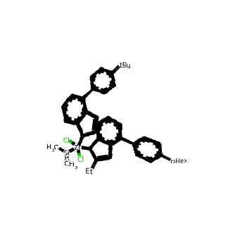 CCCCCCc1ccc(-c2cccc3c2C=C(CC)[CH]3[Zr]([Cl])([Cl])([CH]2C=Cc3c(-c4ccc(C(C)(C)C)cc4)cccc32)[SiH](C)C)cc1